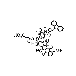 COc1cccc2c1C(=O)c1c(O)c3c(c(O)c1C2=O)C[C@@](O)(C(=O)COC(=O)/C=C/C(=O)O)C[C@@H]3O[C@H]1C[C@H](NC(=O)OCC2c3ccccc3-c3ccccc32)[C@H](O)[C@H](C)O1